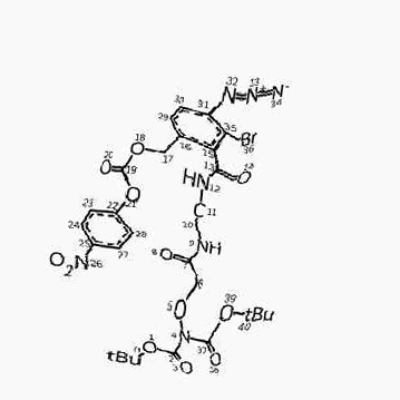 CC(C)(C)OC(=O)N(OCC(=O)NCCNC(=O)c1c(COC(=O)Oc2ccc([N+](=O)[O-])cc2)ccc(N=[N+]=[N-])c1Br)C(=O)OC(C)(C)C